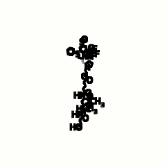 CCC(C)(CC)C(=O)C(CCCCNC(=O)CCO)NC(=O)CCCC(=O)OCCN1CCC[C@H]1C[C@H](CSc1ccccc1)Nc1ccc([S+]=O)cc1S(=O)(=O)C(F)(F)F